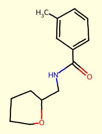 Cc1cccc(C(=O)NCC2CCCCO2)c1